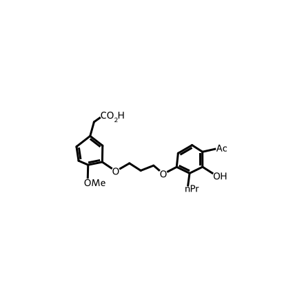 CCCc1c(OCCCOc2cc(CC(=O)O)ccc2OC)ccc(C(C)=O)c1O